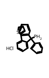 Cl.PC(c1ccccc1)(c1ccccc1)c1ccccc1-c1cccs1